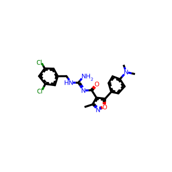 Cc1noc(-c2ccc(N(C)C)cc2)c1C(=O)/N=C(\N)NCc1cc(Cl)cc(Cl)c1